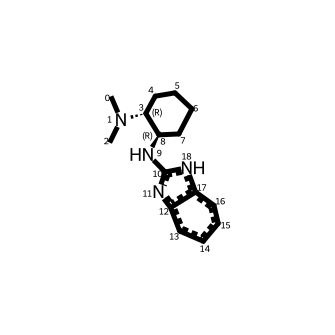 CN(C)[C@@H]1CCCC[C@H]1Nc1nc2ccccc2[nH]1